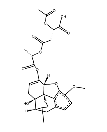 COc1ccc2c3c1O[C@H]1C(OC(=O)[C@H](C)OC(=O)C[C@H](OC(C)=O)C(=O)O)=CC[C@@]4(O)[C@@H](C2)C(C)CC[C@]314